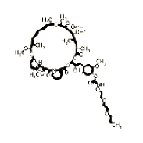 CCCOCCOCCONC(=O)O[C@@H]1CC[C@@H](C[C@@H](C)[C@@H]2CC(=O)[C@H](C)/C=C(\C)[C@@H](O)[C@@H](OC)C(=O)[C@H](C)C[C@H](C)/C=C/C=C/C=C(\C)[C@@H](OC)C[C@@H]3CC[C@@H](C)[C@@](O)(N3)C(=O)C(=O)N3CCCC[C@H]3C(=O)O2)C[C@H]1OC